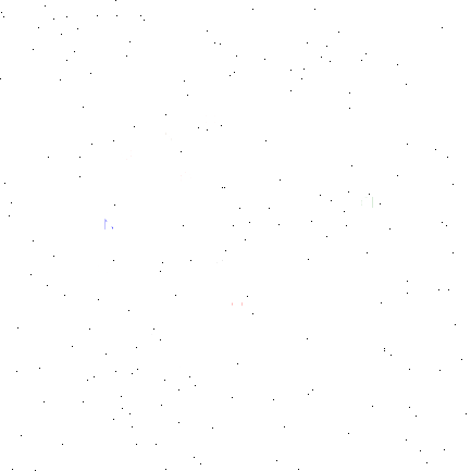 CS(=O)(=O)Oc1ccc(Cl)cc1C(=O)c1cnoc1C1CC1